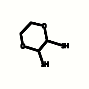 SC1OCCOC1S